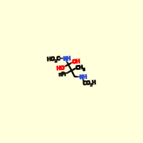 CCCC(C)(CNC(=O)O)C(O)(O)NC(=O)O